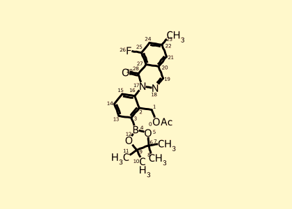 CC(=O)OCc1c(B2OC(C)(C)C(C)(C)O2)cccc1-n1ncc2cc(C)cc(F)c2c1=O